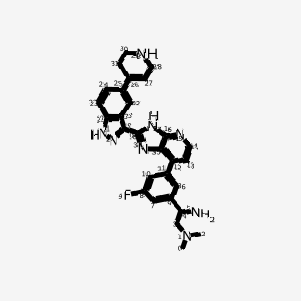 CN(C)CC(N)c1cc(F)cc(-c2ccnc3[nH]c(-c4n[nH]c5ccc(C6=CCNCC6)cc45)nc23)c1